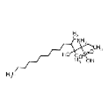 CCCCCCCCCCC(C)C(C)(O)C(N)(CC)S(=O)(=O)O